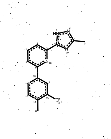 Cc1n[nH]c(-c2cccc(-c3ccc(C)c(C(F)(F)F)c3)n2)n1